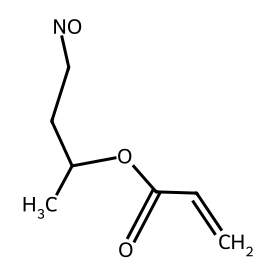 C=CC(=O)OC(C)CCN=O